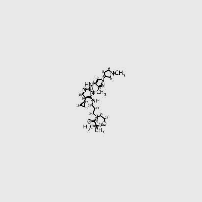 Cc1nn(C2CCN(C)C2)cc1Nc1ncc(C2CC2)c(NCCCN2CCOCC(C)(C)C2=O)n1